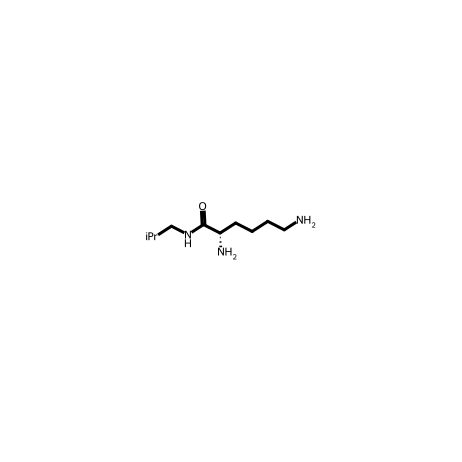 CC(C)CNC(=O)[C@@H](N)CCCCN